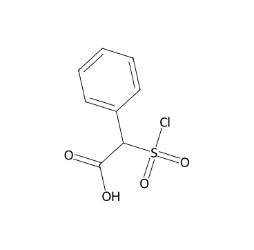 O=C(O)C(c1ccccc1)S(=O)(=O)Cl